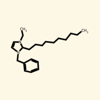 CCCCCCCCCCC1N(CC)C=CN1Cc1ccccc1